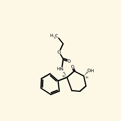 CCOC(=O)N[C@@]1(c2ccccc2)CCC[C@@H](O)C1=O